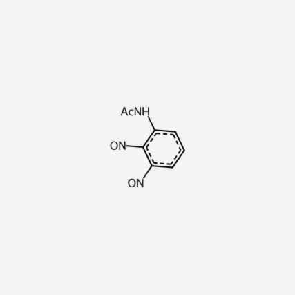 CC(=O)Nc1cccc(N=O)c1N=O